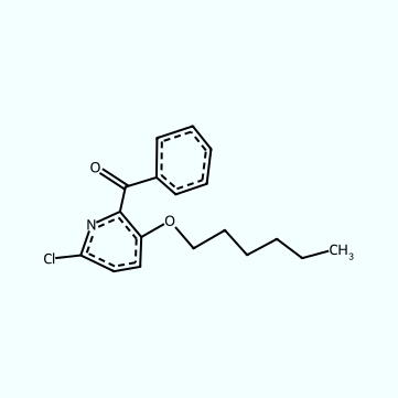 CCCCCCOc1ccc(Cl)nc1C(=O)c1ccccc1